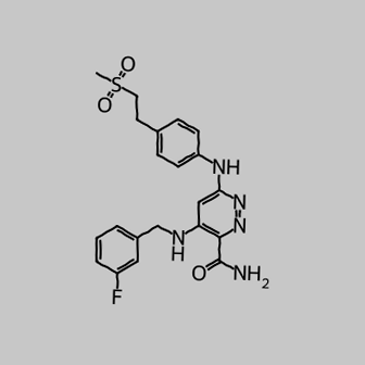 CS(=O)(=O)CCc1ccc(Nc2cc(NCc3cccc(F)c3)c(C(N)=O)nn2)cc1